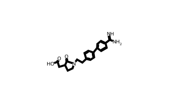 N=C(N)c1ccc(-c2ccc(CCN3CCC(CC(=O)O)C3=O)cc2)cc1